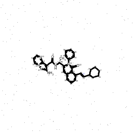 C[C@@H](NC(=O)c1c(N)nn2cccnc12)c1cc2cccc(/C=C/C3CCCCC3)c2c(=O)n1-c1ccccc1